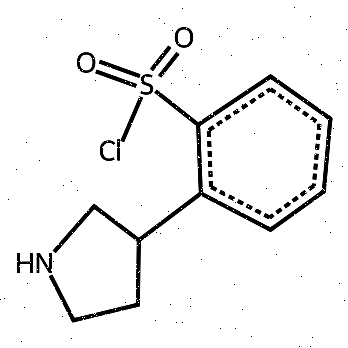 O=S(=O)(Cl)c1ccccc1C1CCNC1